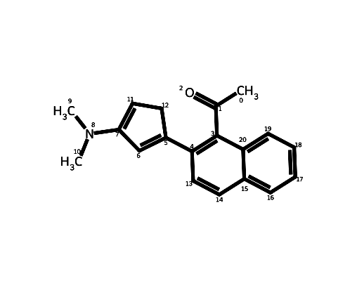 CC(=O)c1c(C2=CC(N(C)C)=CC2)ccc2ccccc12